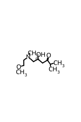 COCCN(C)C[C@@H](O)CC(=O)C(C)C